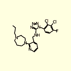 CCCN1CCCN(c2ncccc2CNc2nnnn2-c2ccc(F)c(Cl)c2Cl)CC1